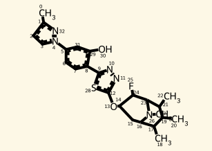 Cc1ccn(-c2ccc(-c3nnc(OC4CC5C(C)C(C)C(C)C(C4F)N5C)s3)c(O)c2)n1